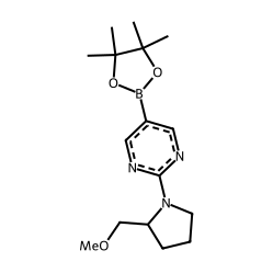 COCC1CCCN1c1ncc(B2OC(C)(C)C(C)(C)O2)cn1